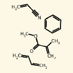 C=C(C)C(=O)OC.C=CC#N.C=CC=C.c1ccccc1